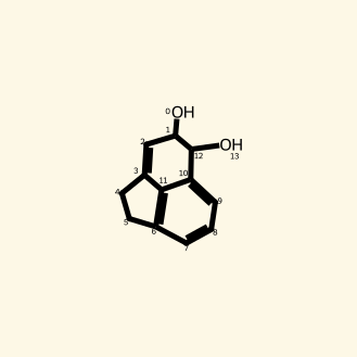 OC1C=C2CCc3cccc(c32)C1O